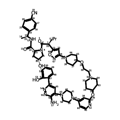 CC(C)[C@H](C(=O)N1C[C@H](O)C[C@H]1C(=O)N[C@@H](C)c1ccc(C#N)cc1)c1cc(N2CCC(OCCN3CCC(Oc4cc(N5CCN(c6cc(-c7ccccc7O)nnc6N)CC5)ccn4)CC3)CC2)no1